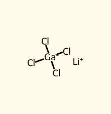 [Cl][Ga-]([Cl])([Cl])[Cl].[Li+]